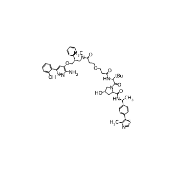 Cc1ncsc1-c1ccc(C(C)NC(=O)C2CC(O)CN2C(=O)C(NC(=O)CCOCCC(=O)N(C)CC(COc2cc(-c3ccccc3O)nnc2N)c2ccccc2)C(C)(C)C)cc1